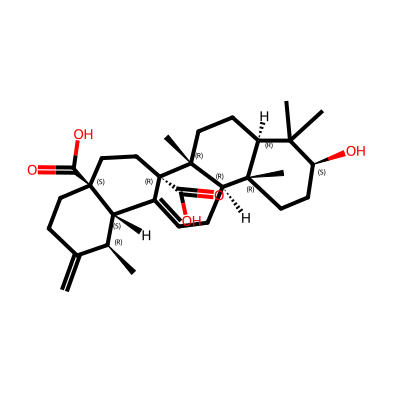 C=C1CC[C@]2(C(=O)O)CC[C@]3(C(=O)O)C(=CC[C@@H]4[C@@]5(C)CC[C@H](O)C(C)(C)[C@@H]5CC[C@]43C)[C@@H]2[C@H]1C